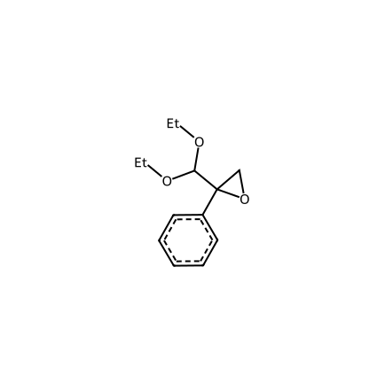 CCOC(OCC)C1(c2ccccc2)CO1